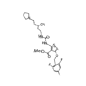 COC(=O)c1c(OCc2c(F)cc(C)cc2F)nsc1NC(=O)NCCC(O)CCN1CCCC1